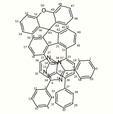 c1ccc(-c2nc(-c3ccccc3)nc(-c3cccc4c3-c3c(-c5ccc(-c6ccccc6)c6cccnc56)cccc3C43c4ccccc4Oc4ccccc43)n2)cc1